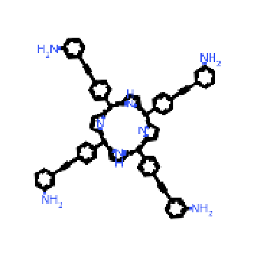 Nc1cccc(C#Cc2ccc(-c3c4nc(c(-c5ccc(C#Cc6cccc(N)c6)cc5)c5ccc([nH]5)c(-c5ccc(C#Cc6cccc(N)c6)cc5)c5nc(c(-c6ccc(C#Cc7cccc(N)c7)cc6)c6ccc3[nH]6)C=C5)C=C4)cc2)c1